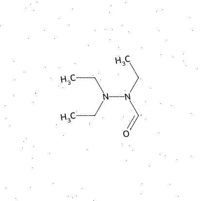 CCN([C]=O)N(CC)CC